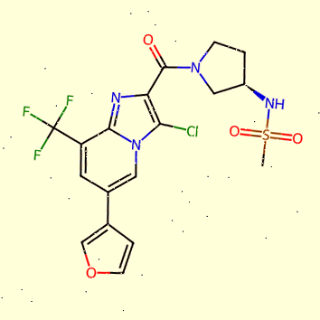 CS(=O)(=O)N[C@@H]1CCN(C(=O)c2nc3c(C(F)(F)F)cc(-c4ccoc4)cn3c2Cl)C1